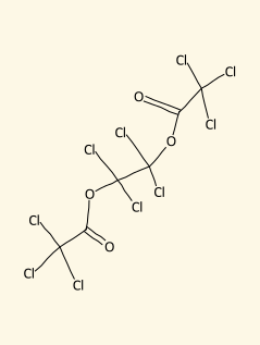 O=C(OC(Cl)(Cl)C(Cl)(Cl)OC(=O)C(Cl)(Cl)Cl)C(Cl)(Cl)Cl